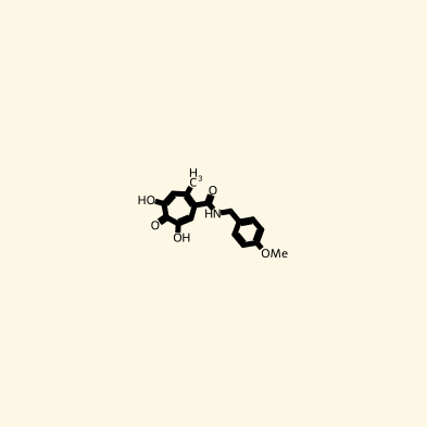 COc1ccc(CNC(=O)c2cc(O)c(=O)c(O)cc2C)cc1